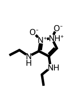 CCNC1=C[NH+]([O-])[N+]([O-])=C1NCC